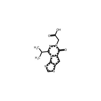 CC(C)c1nn(CC(=O)O)c(=O)c2cc3scnc3n12